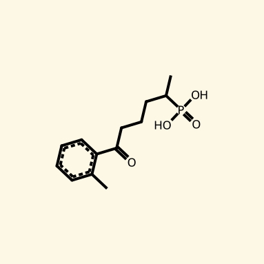 Cc1ccccc1C(=O)CCCC(C)P(=O)(O)O